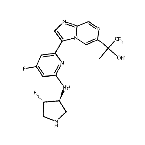 CC(O)(c1cn2c(-c3cc(F)cc(N[C@H]4CNC[C@@H]4F)n3)cnc2cn1)C(F)(F)F